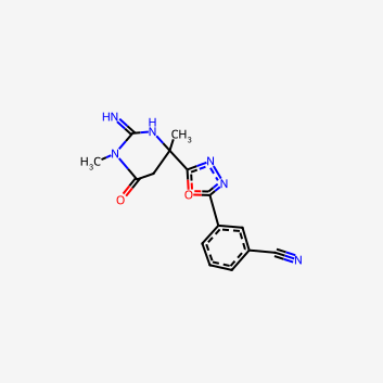 CN1C(=N)NC(C)(c2nnc(-c3cccc(C#N)c3)o2)CC1=O